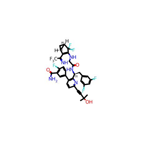 CC(C)(O)C#Cc1ccc(-c2ccc(F)c(C(N)=O)c2)c([C@H](Cc2cc(F)cc(F)c2)NC(=O)CNC2=C(C(=N)C(F)(F)F)[C@H]3C[C@H]3C2(F)F)n1